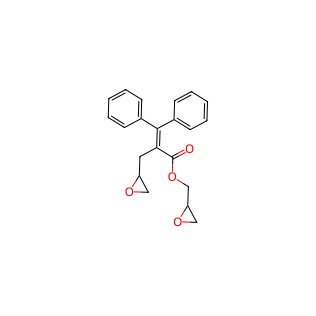 O=C(OCC1CO1)C(CC1CO1)=C(c1ccccc1)c1ccccc1